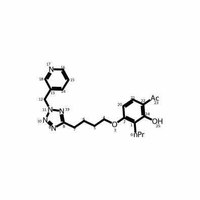 CCCc1c(OCCCCc2nnn(Cc3cccnc3)n2)ccc(C(C)=O)c1O